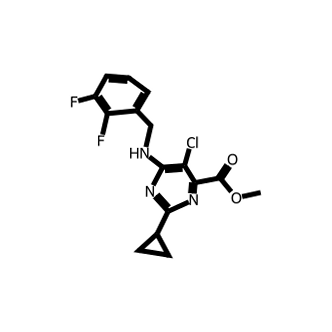 COC(=O)c1nc(C2CC2)nc(NCc2cccc(F)c2F)c1Cl